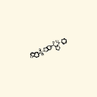 O=C(C1CCCN1C(=O)c1ccccc1)N1CC2=C(C1)CN(S(=O)(=O)c1ccc3occc3c1)C2